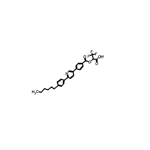 CCCCCCc1ccc(-c2ccc(-c3ccc(C(=O)OC(C(=O)O)C(F)(F)F)cc3)cn2)cc1